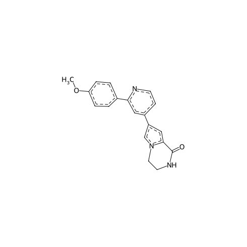 COc1ccc(-c2cc(-c3cc4n(c3)CCNC4=O)ccn2)cc1